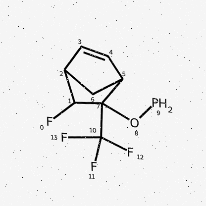 FC1C2C=CC(C2)C1(OP)C(F)(F)F